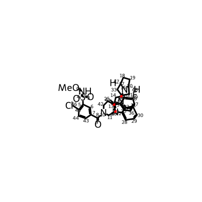 CONS(=O)(=O)c1cc(C(=O)N2CCC(CCN3[C@@H]4CC[C@H]3C[C@@H](n3c(C)nc5ccccc53)C4)(c3cccc(F)c3)CC2)ccc1Cl